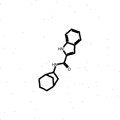 O=C(NC1CC2CCCC1C2)c1cc2ccccc2[nH]1